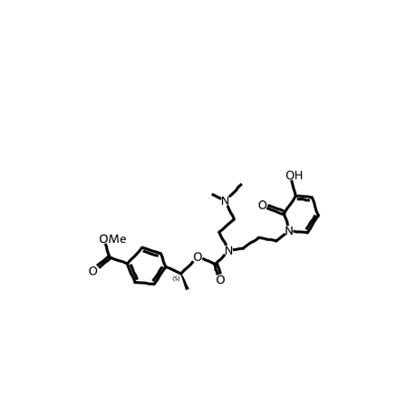 COC(=O)c1ccc([C@H](C)OC(=O)N(CCCn2cccc(O)c2=O)CCN(C)C)cc1